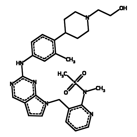 Cc1cc(Nc2ncc3ccn(Cc4cccnc4N(C)S(C)(=O)=O)c3n2)ccc1C1CCN(CCO)CC1